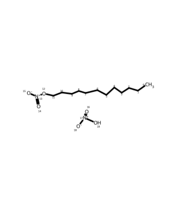 CCCCCCCCCCCCO[N+](=O)[O-].O=[N+]([O-])O